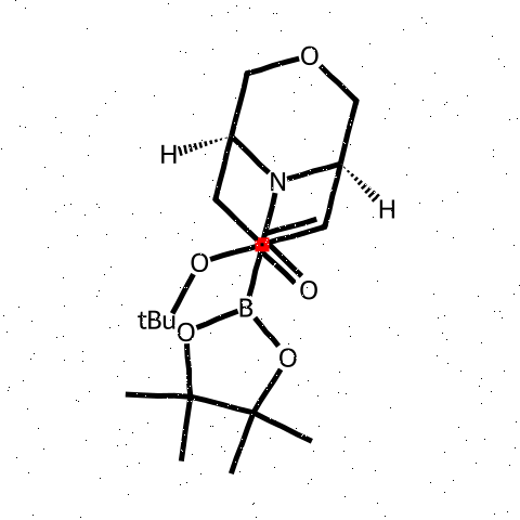 CC(C)(C)OC(=O)N1[C@@H]2COC[C@H]1C=C(B1OC(C)(C)C(C)(C)O1)C2